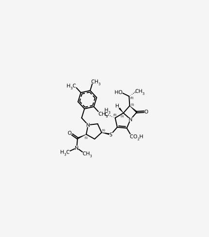 Cc1cc(C)c(CN2C[C@@H](SC3=C(C(=O)O)N4C(=O)[C@H]([C@@H](C)O)[C@H]4[C@H]3C)C[C@H]2C(=O)N(C)C)cc1C